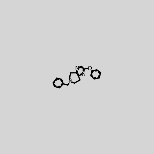 c1ccc(CN2CCc3ncc(Oc4ccccc4)nc3CC2)cc1